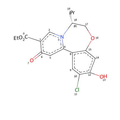 CCOC(=O)c1cn2c(cc1=O)-c1cc(Cl)c(O)cc1OC[C@H]2C(C)C